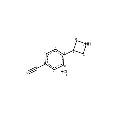 Cl.N#Cc1ccc(C2CNC2)cc1